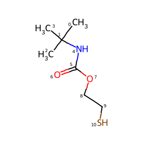 CC(C)(C)NC(=O)OCCS